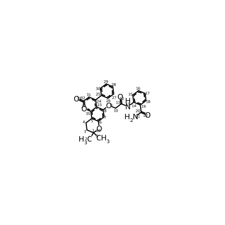 CC1(C)CCc2c(cc(OCC(=O)Nc3ccccc3C(N)=O)c3c(-c4ccccc4)cc(=O)oc23)O1